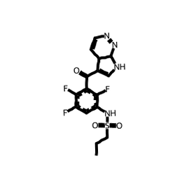 CCCS(=O)(=O)Nc1cc(F)c(F)c(C(=O)C2=CNC3N=NC=CC23)c1F